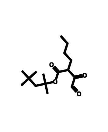 CCCCC(C(=O)C=O)C(=O)OC(C)(C)CC(C)(C)C